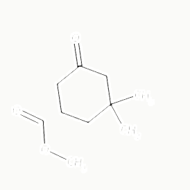 CC1(C)CCCC(=O)C1.COC=O